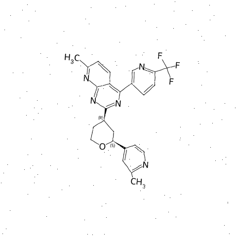 Cc1cc([C@@H]2C[C@H](c3nc(-c4ccc(C(F)(F)F)nc4)c4ccc(C)nc4n3)CCO2)ccn1